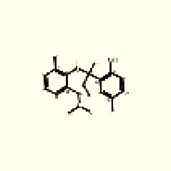 CCC(C)(Pc1c(C)cccc1CN(C)C)c1cc(C)ccc1O